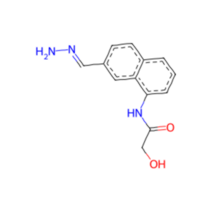 NN=Cc1ccc2cccc(NC(=O)CO)c2c1